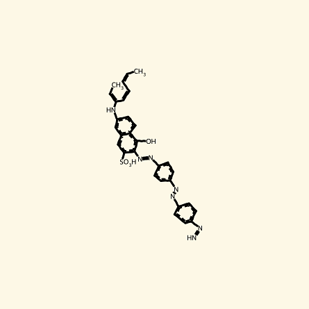 C\C=C/C=C\C(=C/C)Nc1ccc2c(O)c(N=Nc3ccc(N=Nc4ccc(N=N)cc4)cc3)c(S(=O)(=O)O)cc2c1